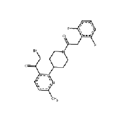 Cc1ncc(C(=O)CBr)c(C2CCN(C(=O)Cc3c(F)cccc3F)CC2)n1